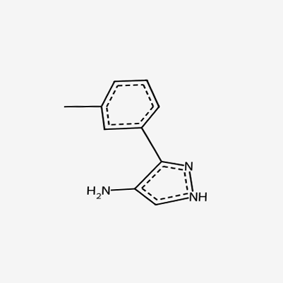 Cc1cccc(-c2n[nH]cc2N)c1